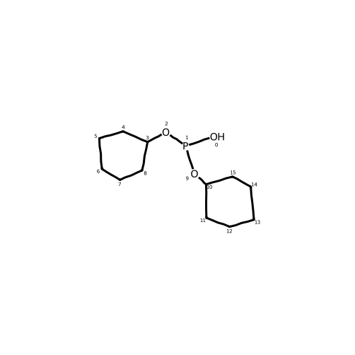 OP(OC1CCCCC1)OC1CCCCC1